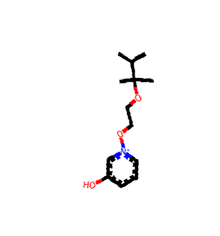 CC(C)C(C)(C)OCCO[n+]1cccc(O)c1